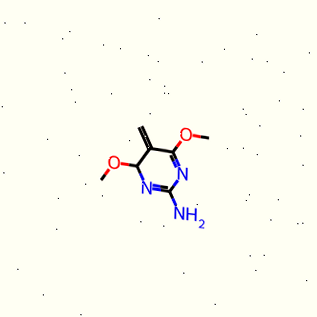 C=C1C(OC)=NC(N)=NC1OC